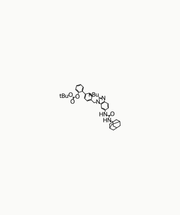 CCCCc1nc2ccc(NC(=O)NC34CC5CC(CC(C5)C3)C4)cc2n1Cc1ccc(-c2ccccc2OC(=O)OC(C)(C)C)cc1